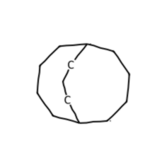 [CH]1CCC[C]2CCCCC1CCC2